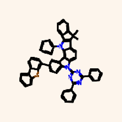 CC1(C)c2ccccc2-c2c1c1ccc3c(c4cc(-c5cccc6c5sc5ccccc56)ccc4n3-c3nc(-c4ccccc4)nc(-c4ccccc4)n3)c1n2-c1ccccc1